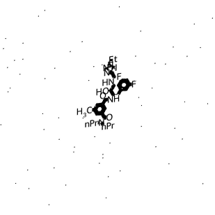 CCCN(CCC)C(=O)c1cc(C)cc(C(=O)N[C@@H](Cc2cc(F)cc(F)c2)[C@H](O)CNCc2nnn(CC)n2)c1